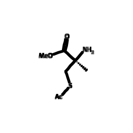 COC(=O)[C@@](C)(N)CSC(C)=O